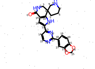 O=C1NCC2(CCCNC2)c2[nH]c(-c3ccnc(-c4ccc5c(c4)OCO5)n3)cc21